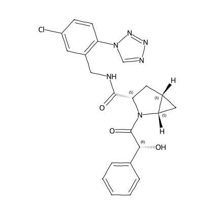 O=C(NCc1cc(Cl)ccc1-n1cnnn1)[C@@H]1C[C@@H]2C[C@@H]2N1C(=O)[C@H](O)c1ccccc1